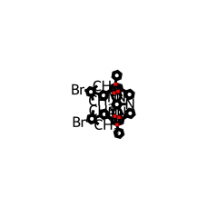 Cc1cc(Br)cc(C)c1-c1ccc2c(c1)c1cc(-c3ccccc3)ccc1n2-c1cc(-n2c3ccc(-c4ccccc4)cc3c3cc(-c4c(C)cc(Br)cc4C)ccc32)c(-n2c3ccccc3c3ccccc32)c(C#N)c1-n1c2ccccc2c2ccccc21